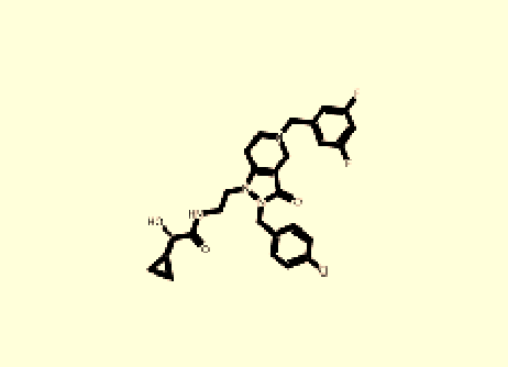 O=C(NCCn1c2c(c(=O)n1Cc1ccc(Cl)cc1)CN(Cc1cc(F)cc(F)c1)CC2)[C@H](O)C1CC1